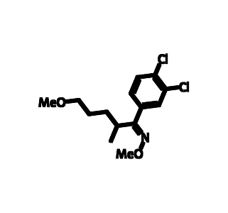 COCCCC(C)C(=NOC)c1ccc(Cl)c(Cl)c1